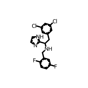 Fc1ccc(F)c(CNC(Cc2cc(Cl)cc(Cl)c2)c2ncc[nH]2)c1